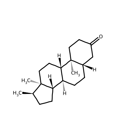 C[C@@H]1CC[C@H]2[C@@H]3CC[C@H]4CC(=O)CC[C@]4(C)[C@H]3CC[C@]12C